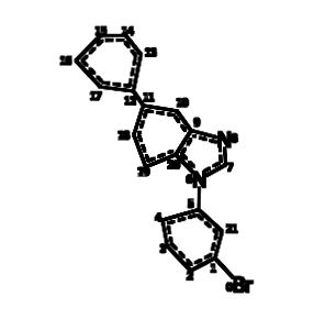 Brc1cccc(-n2cnc3cc(-c4ccccc4)ccc32)c1